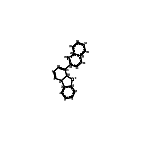 C1=CC2c3ccccc3OC2C(c2ccc3ccccc3n2)=C1